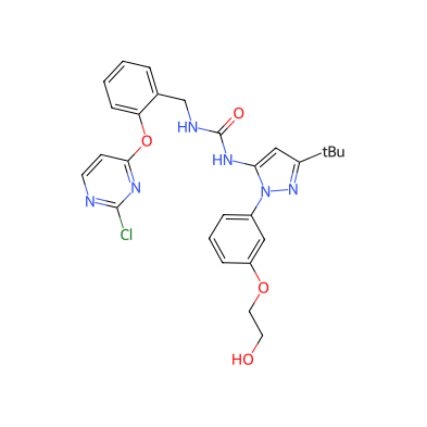 CC(C)(C)c1cc(NC(=O)NCc2ccccc2Oc2ccnc(Cl)n2)n(-c2cccc(OCCO)c2)n1